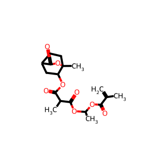 C=C(C)C(=O)OC(C)OC(=O)C(C)C(=O)OC1CC2CCC1(C)OC2=O